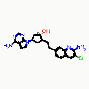 Nc1nc2cc(CCC3CC(n4ccc5c(N)ncnc54)C[C@@H]3O)ccc2cc1Cl